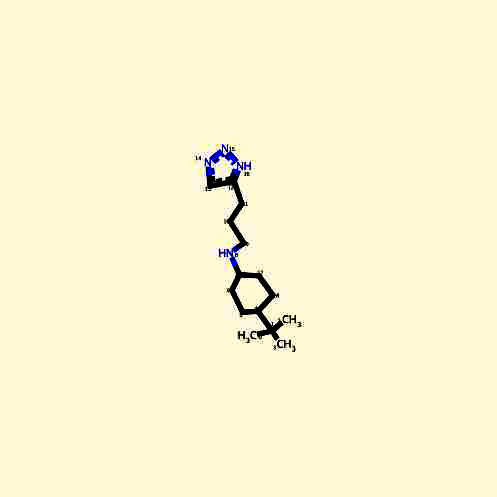 CC(C)(C)C1CCC(NCCCc2cnn[nH]2)CC1